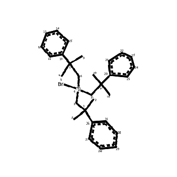 CC(C)([CH2][Ti]([Br])([CH2]C(C)(C)c1ccccc1)[CH2]C(C)(C)c1ccccc1)c1ccccc1